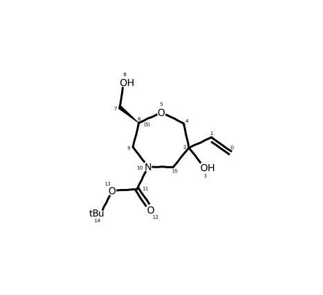 C=CC1(O)CO[C@H](CO)CN(C(=O)OC(C)(C)C)C1